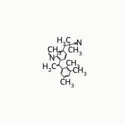 C=C(c1ccc(CC(C)(C)C#N)cc1/N=C\C)c1cc(C)cc(C)c1C